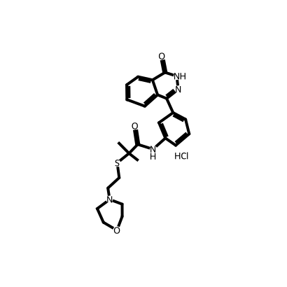 CC(C)(SCCN1CCOCC1)C(=O)Nc1cccc(-c2n[nH]c(=O)c3ccccc23)c1.Cl